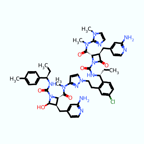 CC[C@@H](NC(=O)N1C(O)[C@H](Cc2ccnc(N)c2)[C@H]1C(=O)N(C)c1ccn(CCc2cc(Cl)ccc2[C@@H](CC)NC(=O)N2C(=O)[C@H](Cc3ccnc(N)c3)[C@H]2C(=O)N(C)c2nccn2C)n1)c1ccc(C)cc1